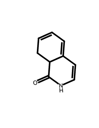 O=C1NC=CC2=CC=CCC12